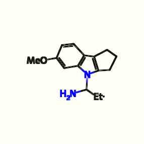 C[CH]C(N)n1c2c(c3ccc(OC)cc31)CCC2